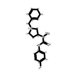 CCN(C(=O)Oc1ccc(F)cc1)C1CCN(CC2=CCCC=C2)C1